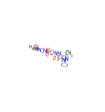 COBN1CCN(S(=O)(=O)c2ccc(NC(=O)c3cc4c(C)nn(C5CCCCC5)c4s3)cc2)CC1